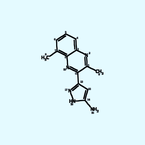 Cc1nc2cccc(C)c2nc1-c1cc(N)[nH]n1